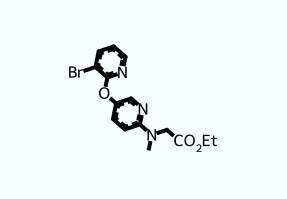 CCOC(=O)CN(C)c1ccc(Oc2ncccc2Br)cn1